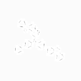 c1ccc(-c2ccc(N(c3ccc(-c4ccc5c(ccc6ccccc65)c4)cc3)c3cnc4ccc5c6ccccc6oc5c4c3)cc2)cc1